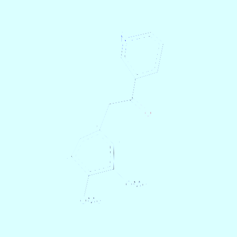 COc1ccc(CC(=O)c2cccnc2)cc1OC